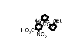 CC(=O)c1ccccc1C(=O)O.CCOc1ccccc1C(=O)O.O=C(O)c1ccccc1[N+](=O)[O-]